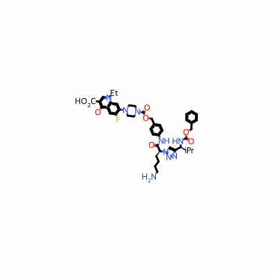 CCn1cc(C(=O)O)c(=O)c2cc(F)c(N3CCN(C(=O)OCc4ccc(NC(=O)[C@H](CCCCN)n5cc([C@@H](NC(=O)OCc6ccccc6)C(C)C)nn5)cc4)CC3)cc21